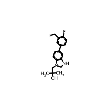 CC(C)(O)CN1CNc2cc(-c3ccc(F)c(CI)c3)ccc21